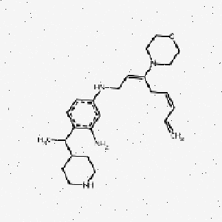 C=C/C=C\C/C(=C\CNc1ccc(C(C)C2CCNCC2)c(N)c1)N1CCOCC1